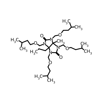 CCCC12N(COCCC(C)C)C(=O)N(COCCC(C)C)C1(C)N(COCCC(C)C)C(=O)N2COCCC(C)C